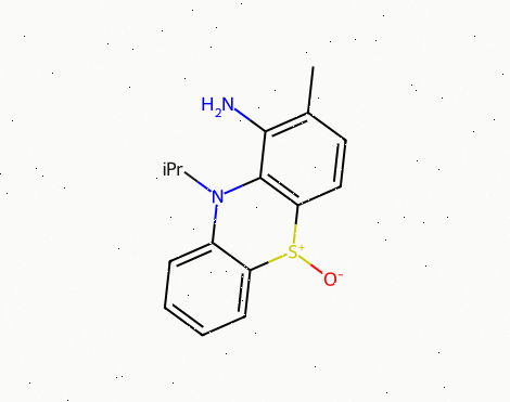 Cc1ccc2c(c1N)N(C(C)C)c1ccccc1[S+]2[O-]